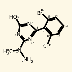 CN(N)c1nc(O)nc(-c2c(Cl)cccc2Br)n1